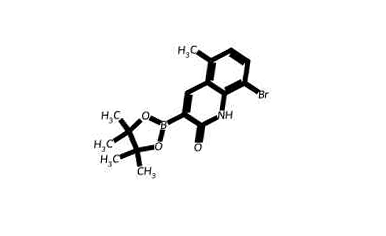 Cc1ccc(Br)c2[nH]c(=O)c(B3OC(C)(C)C(C)(C)O3)cc12